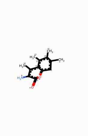 Cc1cc2oc(=O)c(N)c([SiH3])c2c(C)c1C